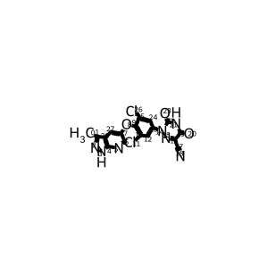 Cc1n[nH]c2ncc(Oc3c(Cl)cc(-n4nc(C#N)c(=O)[nH]c4=O)cc3Cl)cc12